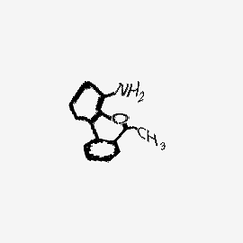 CC1OC2=C(N)C=CCC2c2ccccc21